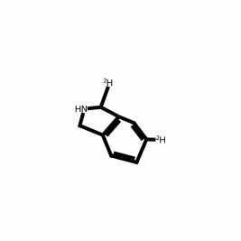 [2H]c1ccc2c(c1)C([2H])NC2